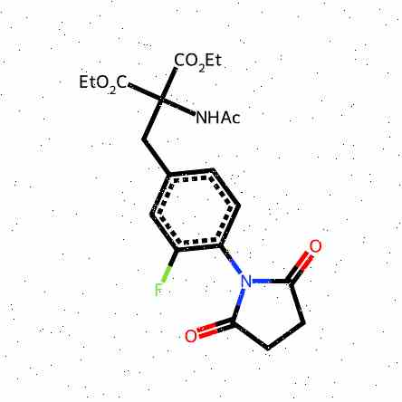 CCOC(=O)C(Cc1ccc(N2C(=O)CCC2=O)c(F)c1)(NC(C)=O)C(=O)OCC